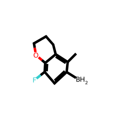 Bc1cc(F)c2c(c1C)CCCO2